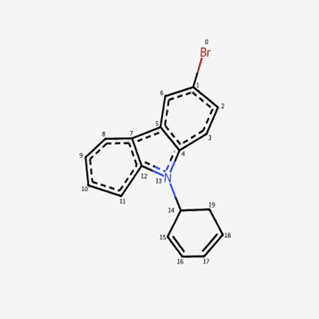 Brc1ccc2c(c1)c1ccccc1n2C1C=CC=CC1